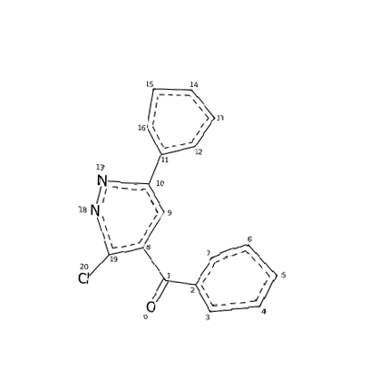 O=C(c1ccccc1)c1cc(-c2ccccc2)nnc1Cl